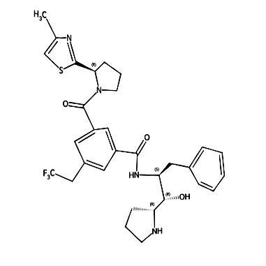 Cc1csc([C@H]2CCCN2C(=O)c2cc(CC(F)(F)F)cc(C(=O)N[C@@H](Cc3ccccc3)[C@H](O)[C@H]3CCCN3)c2)n1